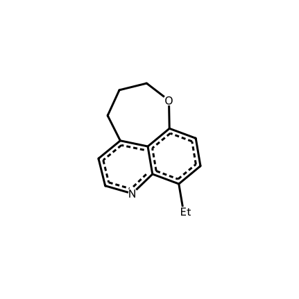 CCc1ccc2c3c(ccnc13)CCCO2